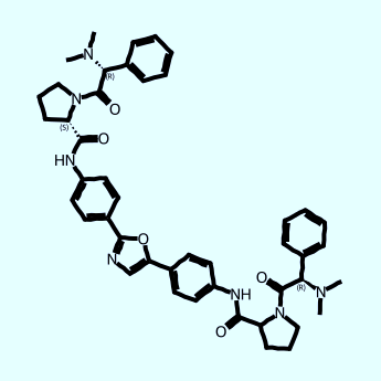 CN(C)[C@@H](C(=O)N1CCCC1C(=O)Nc1ccc(-c2cnc(-c3ccc(NC(=O)[C@@H]4CCCN4C(=O)[C@@H](c4ccccc4)N(C)C)cc3)o2)cc1)c1ccccc1